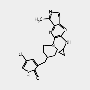 Cc1nccc2nc(NC3CC3)c(N3CCC(Cc4cc(Cl)c[nH]c4=O)CC3)nc12